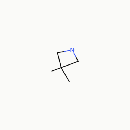 CC1(C)C[N]C1